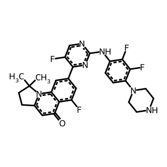 CC1(C)CCc2cc(=O)c3c(F)cc(-c4nc(Nc5ccc(N6CCNCC6)c(F)c5F)ncc4F)cc3n21